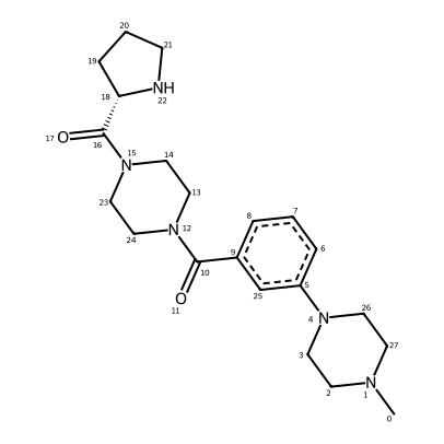 CN1CCN(c2cccc(C(=O)N3CCN(C(=O)[C@@H]4CCCN4)CC3)c2)CC1